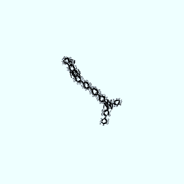 C1=CCCC(c2ccc(-c3nc(-c4ccccc4)nc(-c4ccc(-c5ccc(-c6ccc(-c7ccc8nc9cc%10c(cc9nc8c7)oc7ccccc7%10)cc6)cc5)cc4)n3)cc2)=C1